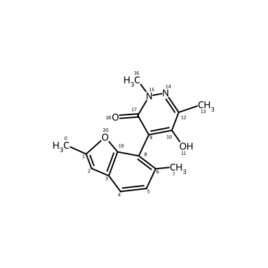 Cc1cc2ccc(C)c(-c3c(O)c(C)nn(C)c3=O)c2o1